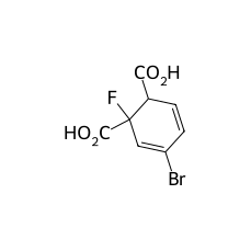 O=C(O)C1C=CC(Br)=CC1(F)C(=O)O